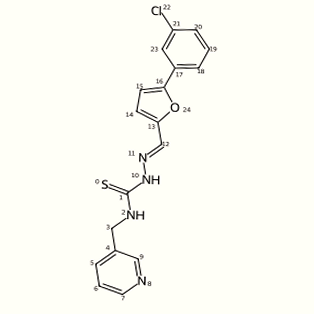 S=C(NCc1cccnc1)NN=Cc1ccc(-c2cccc(Cl)c2)o1